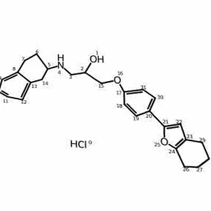 Cl.OC(CNC1CCc2ccccc2C1)COc1ccc(-c2cc3c(o2)CCCC3)cc1